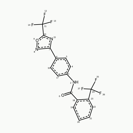 O=C(Nc1ccc(-c2noc(C(F)(F)F)n2)cc1)c1ccccc1C(F)(F)F